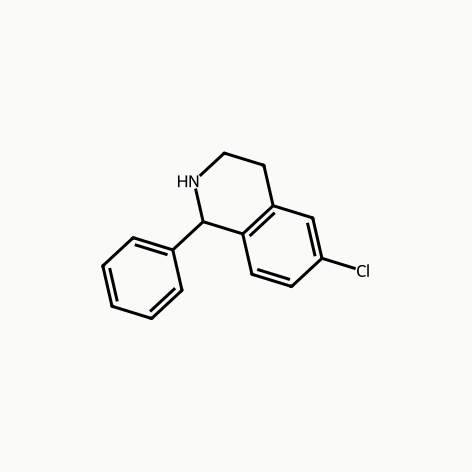 Clc1ccc2c(c1)CCNC2c1ccccc1